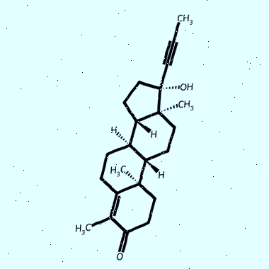 CC#C[C@]1(O)CC[C@H]2[C@@H]3CCC4=C(C)C(=O)CC[C@]4(C)[C@H]3CC[C@@]21C